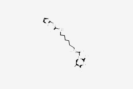 O=C(NCCCCCCNC(=O)n1cc(F)c(=O)[nH]c1=O)Nc1nccs1